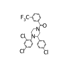 O=C(c1cccc(C(F)(F)F)c1)N1CCN(c2ccc(Cl)cc2Cl)C(c2ccc(Cl)cc2)C1